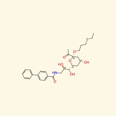 CCSCCCO[C@]1(C(C)=O)C[C@H](O)C[C@H](C(O)[C@H](O)CNC(=O)c2ccc(-c3ccccc3)cc2)O1